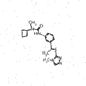 C[C@H](Sc1nncn1C)c1cccc(NC(=O)N(C)C2CCC2)c1